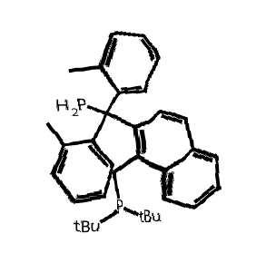 Cc1ccccc1C(P)(c1ccccc1C)c1ccc2ccccc2c1CP(C(C)(C)C)C(C)(C)C